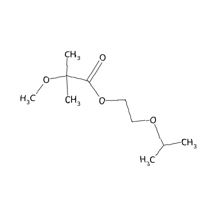 COC(C)(C)C(=O)OCCOC(C)C